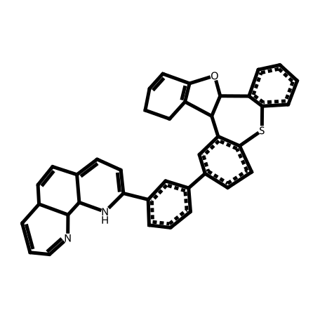 C1=CC2C=CC3=CC=C(c4cccc(-c5ccc6c(c5)C5C7=C(C=CCC7)OC5c5ccccc5S6)c4)NC3C2N=C1